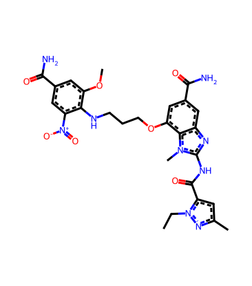 CCn1nc(C)cc1C(=O)Nc1nc2cc(C(N)=O)cc(OCCCNc3c(OC)cc(C(N)=O)cc3[N+](=O)[O-])c2n1C